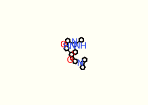 c1ccc(C2N=C(c3cccc4oc5ccc(-c6ccc7c(c6)oc6ccc(-n8c9ccccc9c9ccccc98)cc67)cc5c34)NC(c3ccccc3)N2)cc1